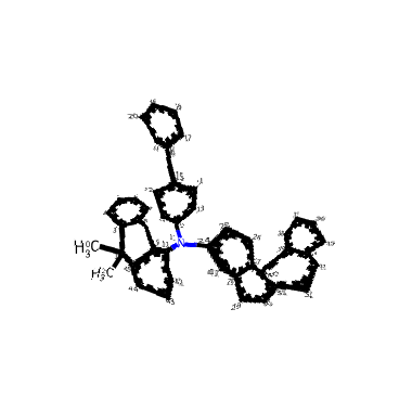 CC1(C)c2ccccc2-c2c(N(c3ccc(-c4ccccc4)cc3)c3ccc4c(ccc5ccc6ccccc6c54)c3)cccc21